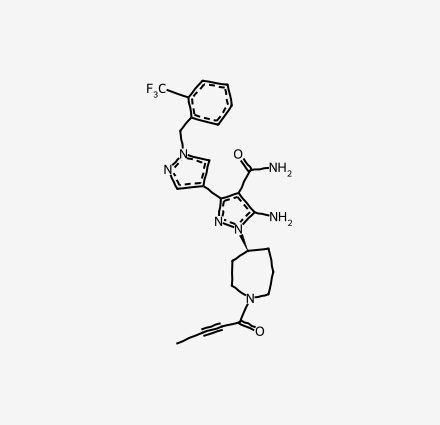 CC#CC(=O)N1CCC[C@H](n2nc(-c3cnn(Cc4ccccc4C(F)(F)F)c3)c(C(N)=O)c2N)CC1